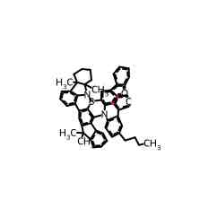 CCCCc1ccc(N2c3cc4oc5ccccc5c4cc3B3c4c(cc5c(c42)-c2ccccc2C5(C)C)-c2cccc4c2N3C2(C)CCCCC42C)c(-c2ccccc2)c1